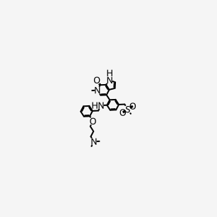 CN(C)CCCOc1ccccc1CNc1ccc(CS(C)(=O)=O)cc1-c1cn(C)c(=O)c2[nH]ccc12